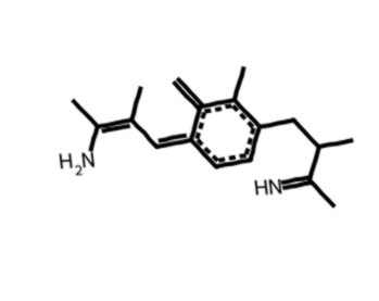 C=c1c(C)c(CC(C)C(C)=N)cc/c1=C/C(C)=C(/C)N